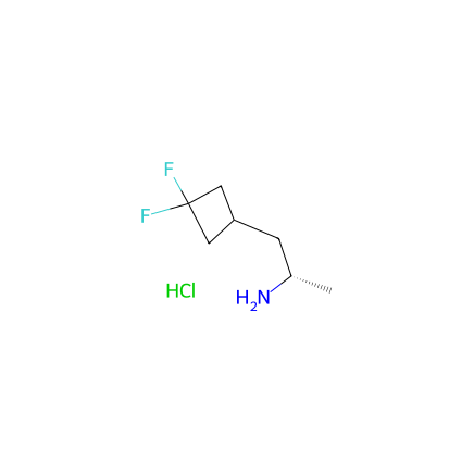 C[C@H](N)CC1CC(F)(F)C1.Cl